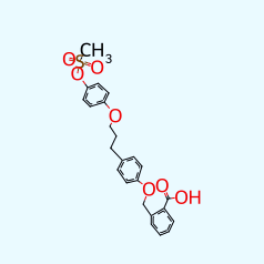 CS(=O)(=O)Oc1ccc(OCCCc2ccc(OCc3ccccc3C(=O)O)cc2)cc1